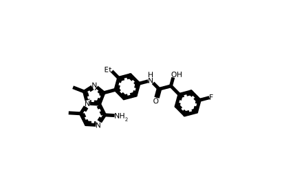 CCc1cc(NC(=O)C(O)c2cccc(F)c2)ccc1-c1nc(C)n2c(C)cnc(N)c12